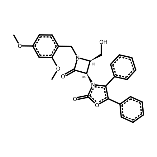 COc1ccc(CN2C(=O)[C@H](n3c(-c4ccccc4)c(-c4ccccc4)oc3=O)[C@@H]2CO)c(OC)c1